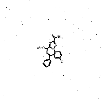 COC1N=C(c2ccccc2)c2cc(Cl)ccc2-n2nc(C(N)=O)nc21